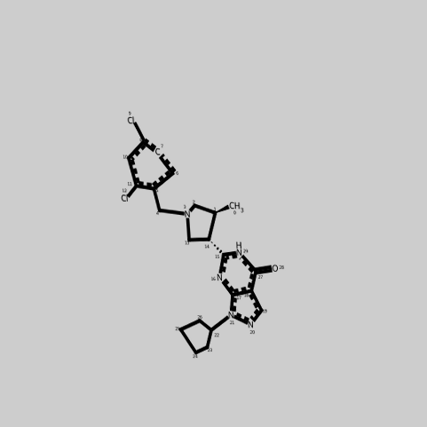 C[C@@H]1CN(Cc2ccc(Cl)cc2Cl)C[C@H]1c1nc2c(cnn2C2CCCC2)c(=O)[nH]1